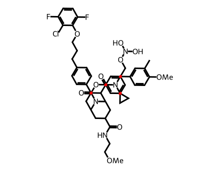 COCCNC(=O)C1CC2CC(c3ccc(CCCOc4c(F)ccc(F)c4Cl)cc3)C(C(=O)N(Cc3ccc(OC)c(C)c3)C3CC3)C(C1)N2C(=O)Oc1cccc(CON(O)O)c1